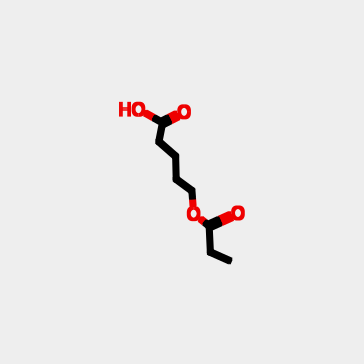 CCC(=O)OCCCCC(=O)O